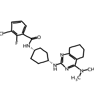 CN(C)c1nc(N[C@H]2CC[C@@H](NC(=O)c3cccc(Cl)c3F)CC2)nc2c1CCCC2